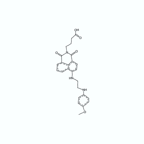 COc1ccc(NCCNc2ccc3c4c(cccc24)C(=O)N(CCCC(=O)O)C3=O)cc1